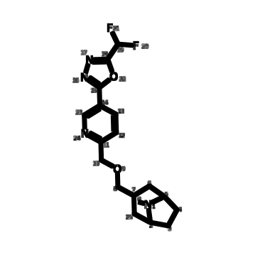 CN1C2CCC1CC(COCc1ccc(-c3nnc(C(F)F)o3)cn1)C2